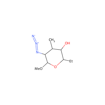 CCC1OC(OC)C(N=[N+]=[N-])C(C)C1O